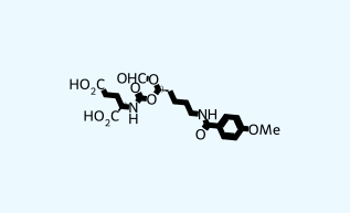 COc1ccc(C(=O)NCCCC[C@@H](OC=O)OC(=O)N[C@@H](CCC(=O)O)C(=O)O)cc1